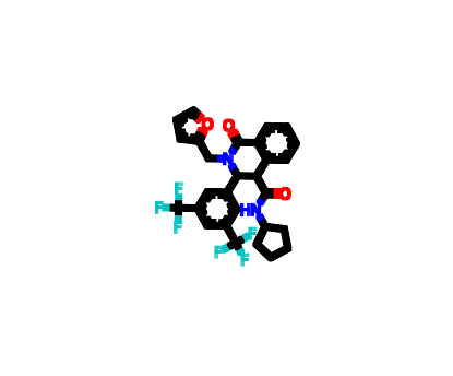 O=C(NC1CCCC1)C1c2ccccc2C(=O)N(Cc2ccco2)C1c1cc(C(F)(F)F)cc(C(F)(F)F)c1